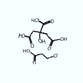 O=C(O)CC(O)(CC(=O)O)C(=O)O.O=C(O)CCCl